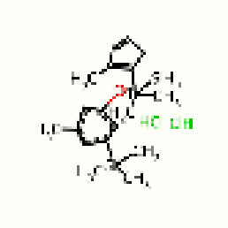 CC1=[C]([Ti]([CH3])([CH3])([SiH3])[O]c2cc(C)cc([Si](C)(C)C)c2)CC=C1.Cl.Cl